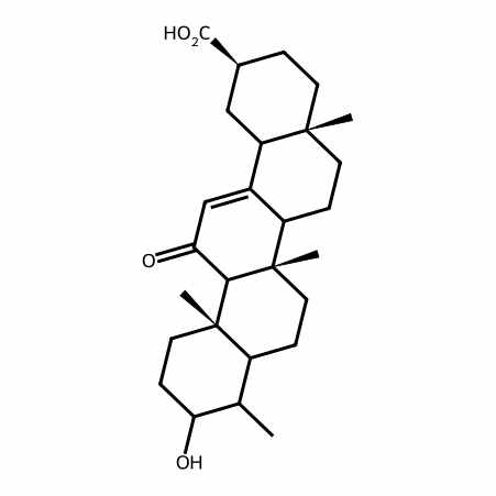 CC1C(O)CC[C@@]2(C)C1CC[C@@]1(C)C3CC[C@@]4(C)CC[C@H](C(=O)O)CC4C3=CC(=O)C12